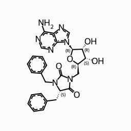 Nc1ncnc2c1ncn2[C@@H]1O[C@H](CN2C(=O)[C@H](Cc3ccccc3)N(Cc3ccccc3)C2=O)[C@@H](O)[C@H]1O